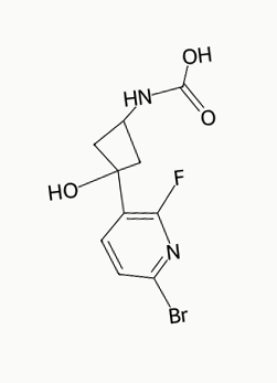 O=C(O)NC1CC(O)(c2ccc(Br)nc2F)C1